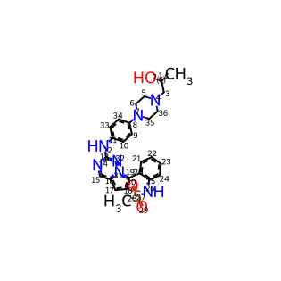 C[C@H](O)CN1CCN(c2ccc(Nc3ncc4ccc(-c5ccccc5NS(C)(=O)=O)n4n3)cc2)CC1